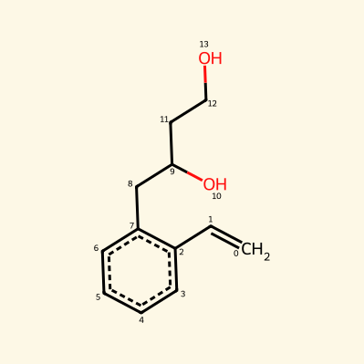 C=Cc1ccccc1CC(O)CCO